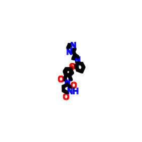 O=C1CCC(N2Cc3cc(O[C@H]4CCCC[C@H]4N4CC(c5cnccn5)C4)ccc3C2=O)C(=O)N1